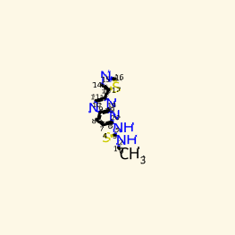 CCNC(=S)Nc1ccc2ncc(-c3cncs3)nc2n1